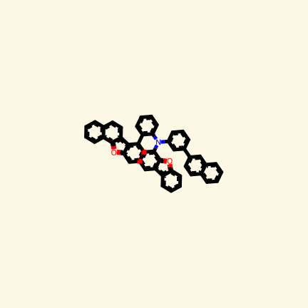 c1cc(-c2ccc3ccccc3c2)cc(N(c2ccccc2-c2cccc3oc4c5ccccc5ccc4c23)c2cccc3c2oc2ccccc23)c1